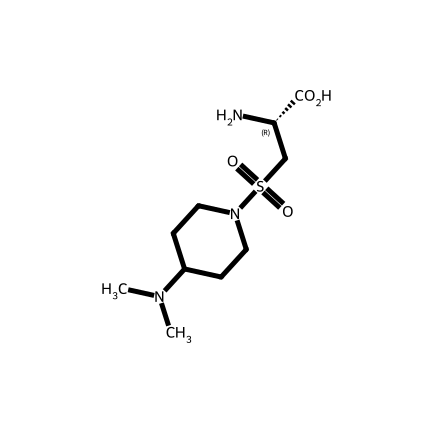 CN(C)C1CCN(S(=O)(=O)C[C@H](N)C(=O)O)CC1